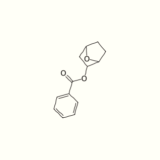 O=C(OC1CC2CCC1O2)c1ccccc1